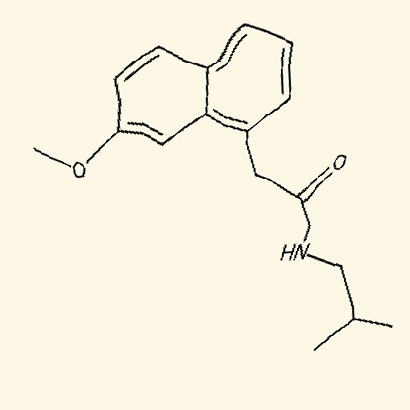 COc1ccc2cccc(CC(=O)NCC(C)C)c2c1